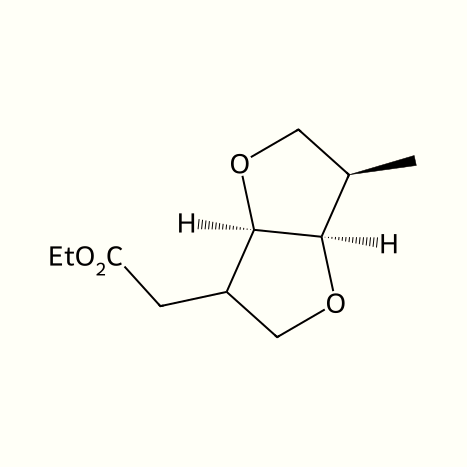 CCOC(=O)CC1CO[C@@H]2[C@H](C)CO[C@H]12